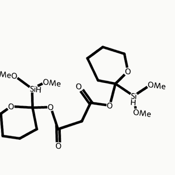 CO[SiH](OC)C1(OC(=O)CC(=O)OC2([SiH](OC)OC)CCCCO2)CCCCO1